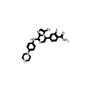 CCc1cnc2c(Nc3ccc(N4CCOCC4)cc3)ncc(-c3ccc(C(N)=O)c(F)c3)n12